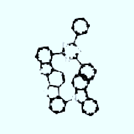 C1=CC2c3c(cccc3-n3c4ccccc4c4ccccc43)SC2c2sc3cccc(-c4nc(-c5ccccc5)nc(-c5ccccc5)n4)c3c21